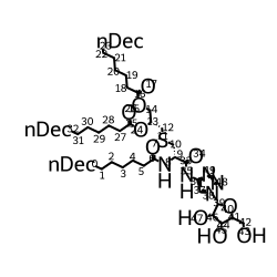 CCCCCCCCCCCCCCCC(=O)N[C@H](CSC[C@@H](COC(=O)CCCCCCCCCCCCCCC)OC(=O)CCCCCCCCCCCCCCC)C(=O)Nc1cn([C@H]2OC(CO)[C@@H](O)[C@H]2O)nn1